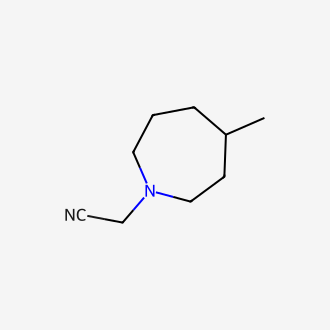 CC1CCCN(CC#N)CC1